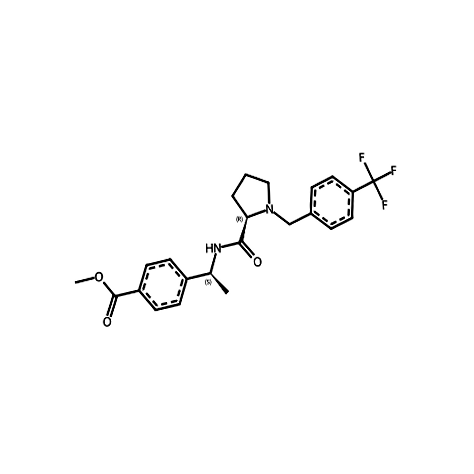 COC(=O)c1ccc([C@H](C)NC(=O)[C@H]2CCCN2Cc2ccc(C(F)(F)F)cc2)cc1